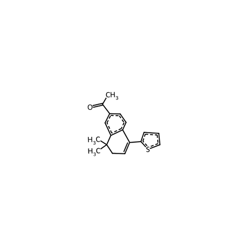 CC(=O)c1ccc2c(c1)C(C)(C)CC=C2c1cccs1